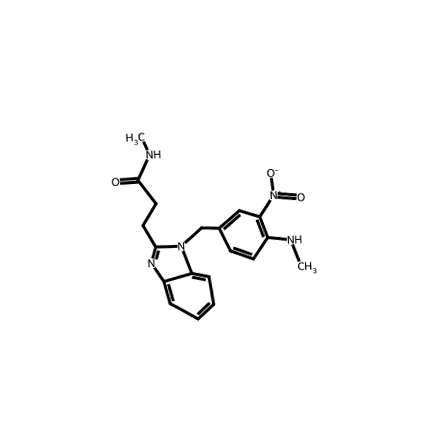 CNC(=O)CCc1nc2ccccc2n1Cc1ccc(NC)c([N+](=O)[O-])c1